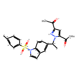 CNC(=O)c1cc(C(=O)OC)n(C(C)c2ccc3c(ccn3S(=O)(=O)c3ccc(C)cc3)c2)n1